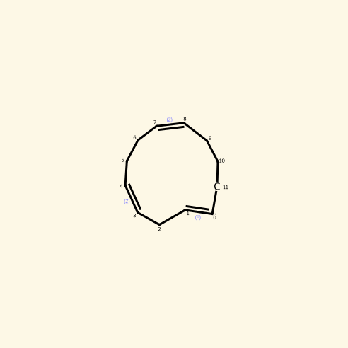 [C]1=C/C/C=C\CC/C=C\CCC/1